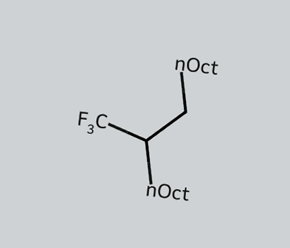 CCCCCCCCCC(CCCCCCCC)C(F)(F)F